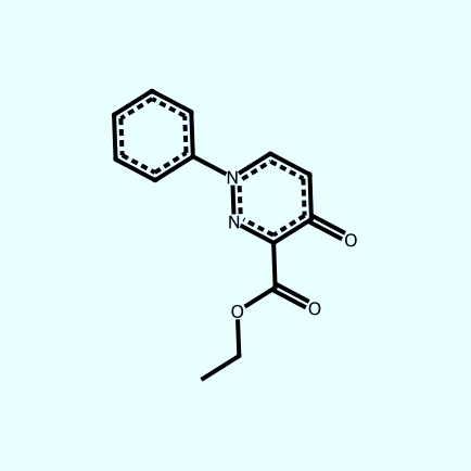 CCOC(=O)c1nn(-c2ccccc2)ccc1=O